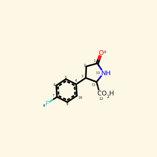 O=C1CC(c2ccc(F)cc2)C(C(=O)O)N1